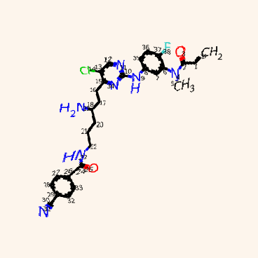 C=CC(=O)N(C)c1cc(Nc2ncc(Cl)c(CCC(N)CCCNC(=O)c3ccc(C#N)cc3)n2)ccc1F